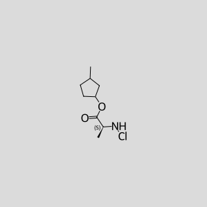 CC1CCC(OC(=O)[C@H](C)NCl)C1